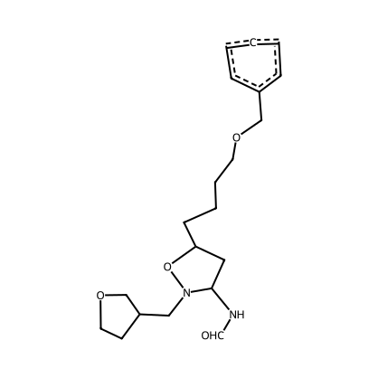 O=CNC1CC(CCCCOCc2ccccc2)ON1CC1CCOC1